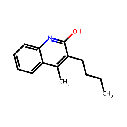 CCCCc1c(O)nc2ccccc2c1C